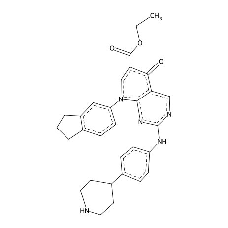 CCOC(=O)c1cn(-c2ccc3c(c2)CCC3)c2nc(Nc3ccc(C4CCNCC4)cc3)ncc2c1=O